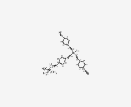 C[N+](C)(C)C.N#Cc1ccc(C#C[B-](F)(C#Cc2ccc(C#N)cc2)C#Cc2ccc(C#N)cc2)cc1